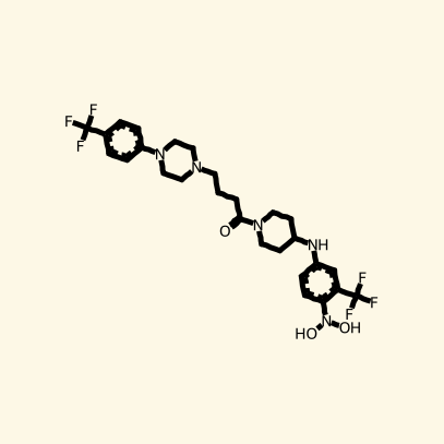 O=C(CCCN1CCN(c2ccc(C(F)(F)F)cc2)CC1)N1CCC(Nc2ccc(N(O)O)c(C(F)(F)F)c2)CC1